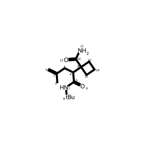 C=C(C)CC(C(=O)NC(C)(C)C)C1(C(N)=O)CCC1